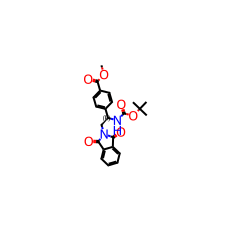 COC(=O)c1ccc([C@H](CN2C(=O)c3ccccc3C2=O)NC(=O)OC(C)(C)C)cc1